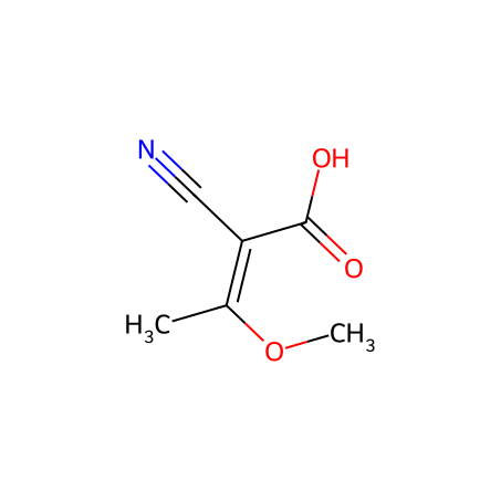 COC(C)=C(C#N)C(=O)O